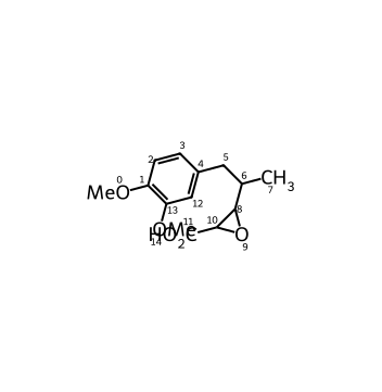 COc1ccc(CC(C)C2OC2C(=O)O)cc1OC